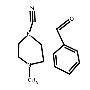 CN1CCN(C#N)CC1.O=Cc1ccccc1